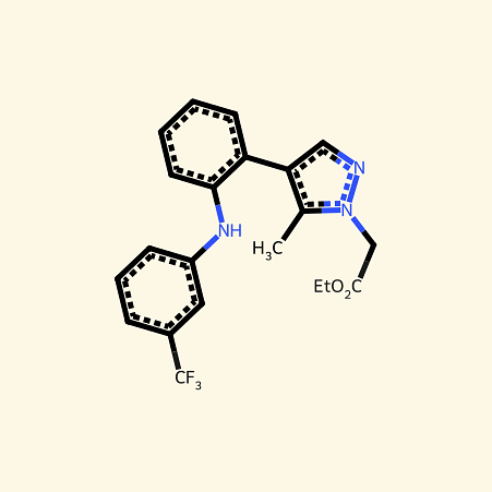 CCOC(=O)Cn1ncc(-c2ccccc2Nc2cccc(C(F)(F)F)c2)c1C